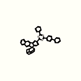 c1ccc(-c2ccc(-c3nc(-c4ccccc4)nc(-c4ccc5c(c4)-c4cc6ccccc6cc4C54C5CC6CC(C5)CC4C6)n3)cc2)cc1